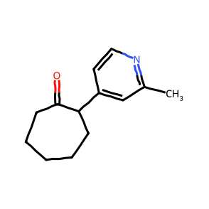 Cc1cc(C2CCCCCC2=O)ccn1